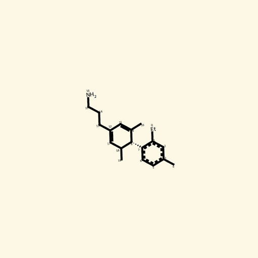 CCc1cc(C)ccc1[C@H]1C(C)=CC(CCCN)=CC1C